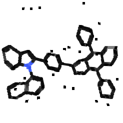 C1=CC2C=C(C3C=CC(c4ccc5c(-c6ccccc6)c6ccccc6c(-c6ccccc6)c5c4)=CC3)N(c3cccc4c3C=CCC4)C2C=C1